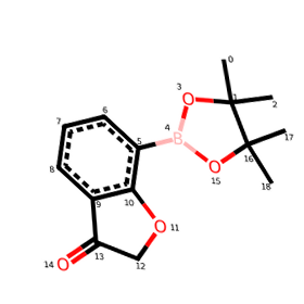 CC1(C)OB(c2cccc3c2OCC3=O)OC1(C)C